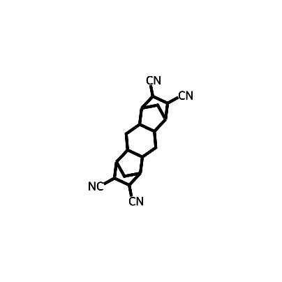 N#CC1C(C#N)C2CC1C1CC3C4CC(C(C#N)C4C#N)C3CC21